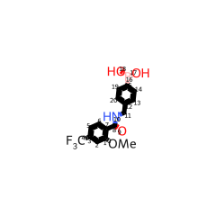 COc1cc(C(F)(F)F)ccc1C(=O)NCc1ccc(B(O)O)cc1